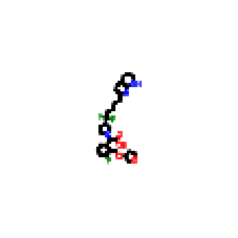 O=C(O)C(c1cccc(F)c1CO[C@@H]1CCOC1)N1CC[C@@H](C(F)(F)CCCCc2ccc3c(n2)NCCC3)C1